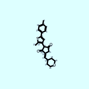 Cc1ccc(-c2cc(C3C(=O)C/C(=C\C4CCOCC4)C3=O)c(C)s2)cc1